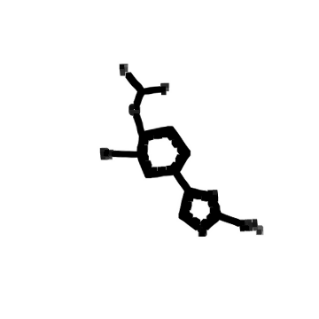 Nc1nc(-c2ccc(OC(F)F)c(Br)c2)cs1